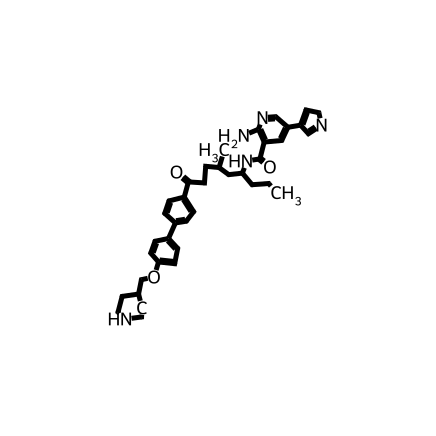 CCCC(CC(C)CCC(=O)c1ccc(-c2ccc(OCC3CCNCC3)cc2)cc1)NC(=O)c1cc(C2=CCN=C2)cnc1N